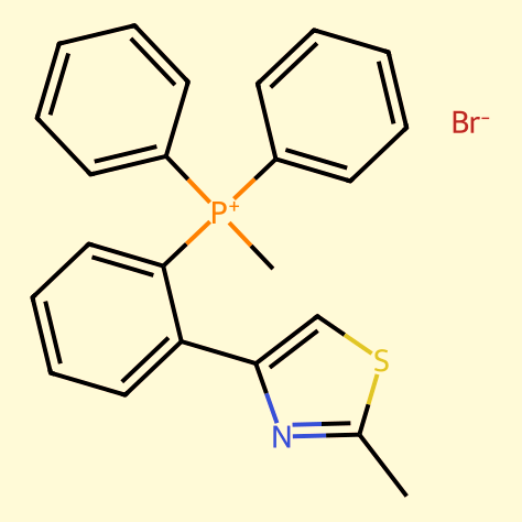 Cc1nc(-c2ccccc2[P+](C)(c2ccccc2)c2ccccc2)cs1.[Br-]